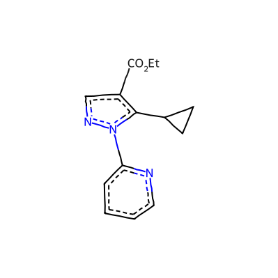 CCOC(=O)c1cnn(-c2ccccn2)c1C1CC1